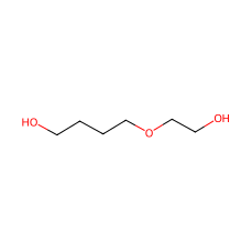 OCCCCOCCO